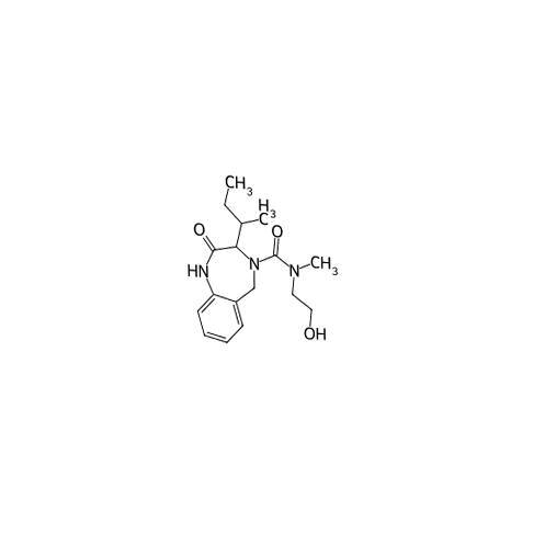 CCC(C)C1C(=O)Nc2ccccc2CN1C(=O)N(C)CCO